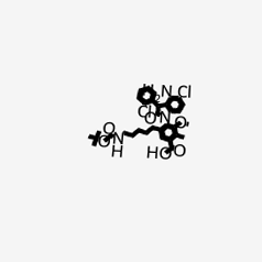 COc1c(C)c(C(=O)O)cc(CCCCCNC(=O)OC(C)(C)C)c1N1C(=O)C(c2ccccc2Cl)c2c1ccc(Cl)c2N